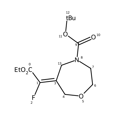 CCOC(=O)C(F)=C1COCCN(C(=O)OC(C)(C)C)C1